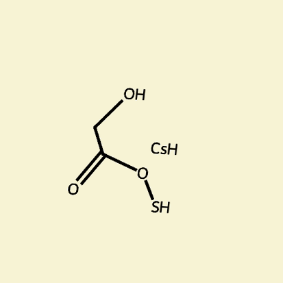 O=C(CO)OS.[CsH]